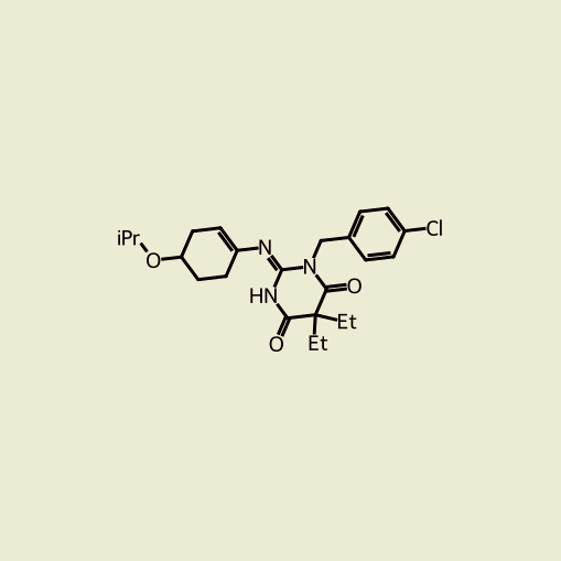 CCC1(CC)C(=O)N/C(=N\C2=CCC(OC(C)C)CC2)N(Cc2ccc(Cl)cc2)C1=O